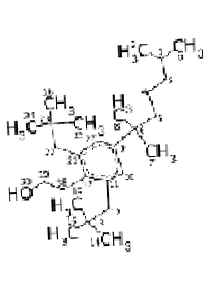 CC(C)CCCC(C)(C)c1cc(CC(C)(C)C)c(CCO)c(CC(C)(C)C)c1